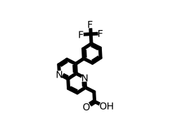 O=C(O)Cc1ccc2nccc(-c3cccc(C(F)(F)F)c3)c2n1